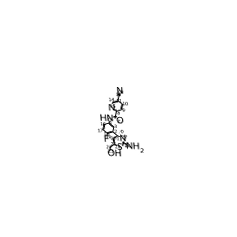 C[C@@]1(c2cc(NC(=O)c3ccc(C#N)cn3)ccc2F)C=C(CO)SC(N)=N1